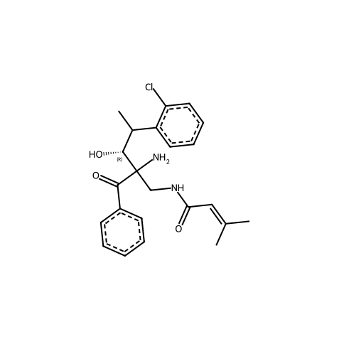 CC(C)=CC(=O)NCC(N)(C(=O)c1ccccc1)[C@H](O)C(C)c1ccccc1Cl